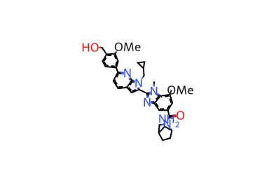 COc1cc(-c2ccc3cc(-c4nc5cc(C(=O)N6CC7CCC6C7N)cc(OC)c5n4C)n(CC4CC4)c3n2)ccc1CO